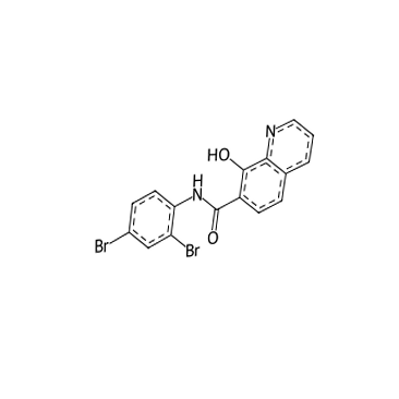 O=C(Nc1ccc(Br)cc1Br)c1ccc2cccnc2c1O